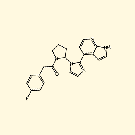 O=C(Cc1ccc(F)cc1)N1CCCC1n1ccnc1-c1ccnc2[nH]ccc12